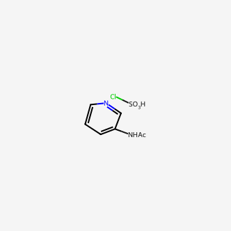 CC(=O)Nc1cccnc1.O=S(=O)(O)Cl